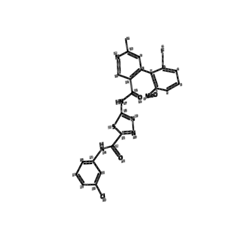 COc1cccc(F)c1-c1cc(C)ncc1C(=O)Nc1nnc(C(=O)Nc2cccc(Cl)c2)s1